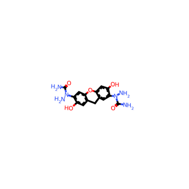 NC(=O)N(N)c1cc2c(cc1O)Oc1cc(N(N)C(N)=O)c(O)cc1C2